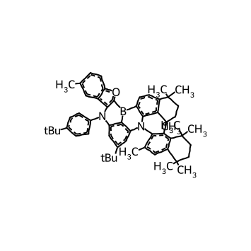 Cc1ccc2oc3c(c2c1)N(c1ccc(C(C)(C)C)cc1)c1cc(C(C)(C)C)cc2c1B3c1ccc3c4c1N2c1c(C)cc2c(c1C4(C)CCC3(C)C)C(C)(C)CCC2(C)C